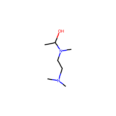 CC(O)N(C)CCN(C)C